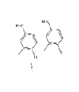 CC.Cc1cc(C=O)ccc1Cl.Cc1cc(C=O)ccc1Cl